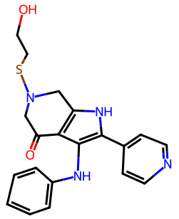 O=C1CN(SCCO)Cc2[nH]c(-c3ccncc3)c(Nc3ccccc3)c21